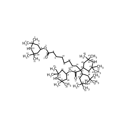 CC1(C)CC(OC(=O)CCCCCCCC(C(=O)OC2CC(C)(C)NC(C)(C)C2)(C2CC(C)(C)NC(C)(C)C2)C2CC(C)(C)NC(C)(C)C2)CC(C)(C)N1